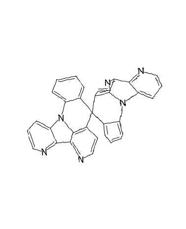 c1ccc2c(c1)-n1c3cccnc3c3nccc(c31)C21c2ccccc2-n2c3cccnc3c3nccc1c32